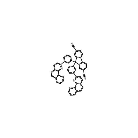 N#Cc1ccc2c(c1)C(c1cccc(-c3ccc4ccc5cccnc5c4n3)c1)(c1cccc(-c3ccc4ccc5cccnc5c4n3)c1)c1cc(C#N)ccc1-2